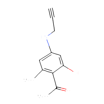 C#CCNc1cc(O)c(C(=O)OC)c(OC)c1